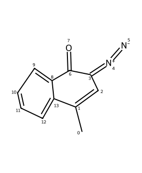 CC1=CC(=[N+]=[N-])C(=O)c2ccccc21